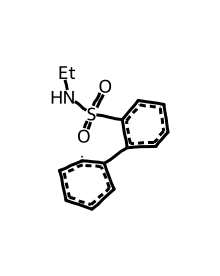 CCNS(=O)(=O)c1ccccc1-c1[c]cccc1